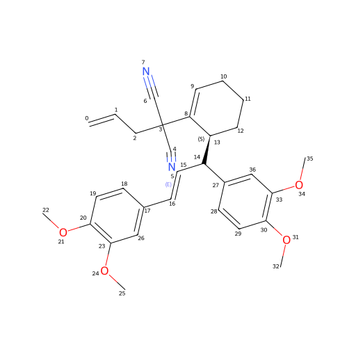 C=CCC(C#N)(C#N)C1=CCCC[C@H]1C(/C=C/c1ccc(OC)c(OC)c1)c1ccc(OC)c(OC)c1